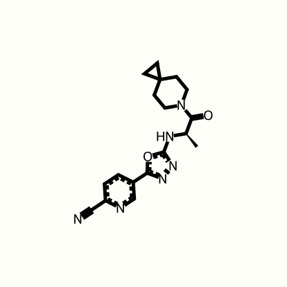 C[C@@H](Nc1nnc(-c2ccc(C#N)nc2)o1)C(=O)N1CCC2(CC1)CC2